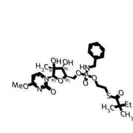 CCC(C)(C)C(=O)SCCOP(=O)(NCc1ccccc1)OC[C@H]1O[C@@H](n2ccc(OC)nc2=O)[C@](C)(O)[C@@H]1O